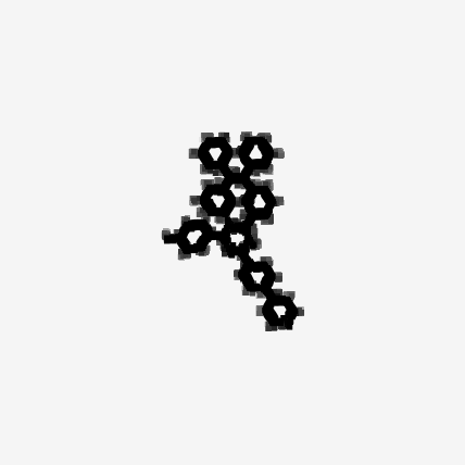 CC1C=CC(c2nc(-c3ccc(-c4ccncc4)cc3)nc(-c3cccc(C(=C(c4ccccc4)c4ccccc4)c4ccccc4)c3)n2)=CC1